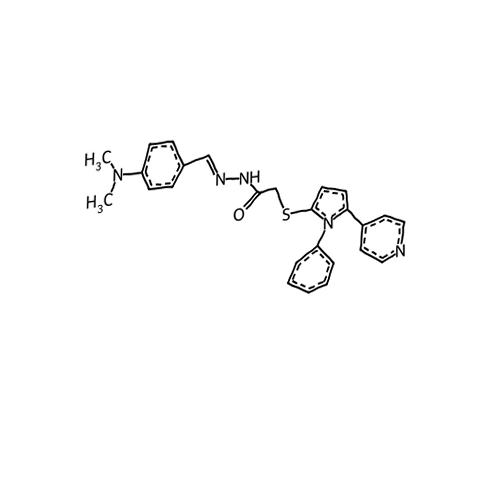 CN(C)c1ccc(/C=N/NC(=O)CSc2ccc(-c3ccncc3)n2-c2ccccc2)cc1